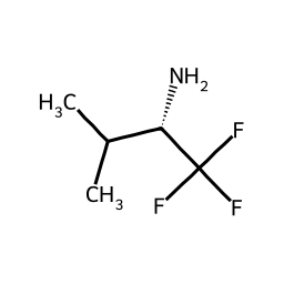 CC(C)[C@H](N)C(F)(F)F